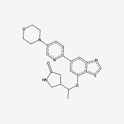 CC(Oc1cc(-c2ccc(N3CCOCC3)cn2)cc2ncsc12)C1CNC(=O)C1